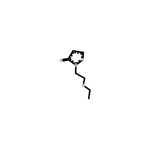 CCOCCn1sccc1=O